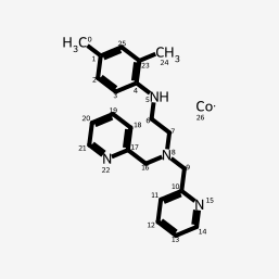 Cc1ccc(NCCN(Cc2ccccn2)Cc2ccccn2)c(C)c1.[Co]